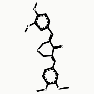 COc1ccc(C=C2CSCC(=Cc3ccc(OC)c(OC)c3)C2=O)cc1OC